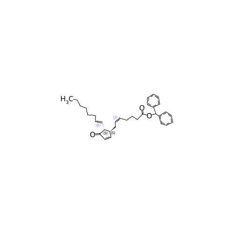 CCCCCC/C=C/[C@H]1C(=O)C=C[C@@H]1C/C=C\CCCC(=O)OC(c1ccccc1)c1ccccc1